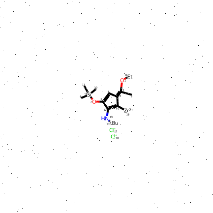 CCOC(C)=C1C=C(O[Si](C)(C)C)C(NC(C)(C)C)=[C]1[Zr+2].[Cl-].[Cl-]